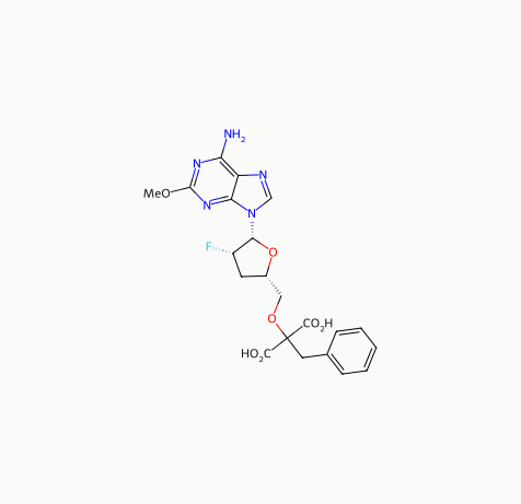 COc1nc(N)c2ncn([C@@H]3O[C@H](COC(Cc4ccccc4)(C(=O)O)C(=O)O)C[C@@H]3F)c2n1